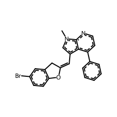 Cn1cc(C=C2Cc3cc(Br)ccc3O2)c2c(-c3ccccc3)ccnc21